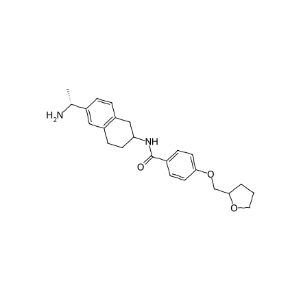 C[C@@H](N)c1ccc2c(c1)CCC(NC(=O)c1ccc(OCC3CCCO3)cc1)C2